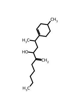 C=C(CCCCC)C(O)CC(C)C1=CCC(C)CC1